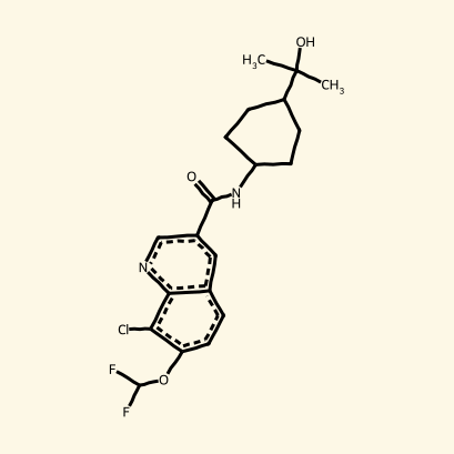 CC(C)(O)C1CCC(NC(=O)c2cnc3c(Cl)c(OC(F)F)ccc3c2)CC1